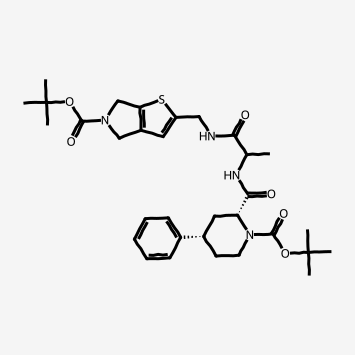 CC(NC(=O)[C@H]1C[C@@H](c2ccccc2)CCN1C(=O)OC(C)(C)C)C(=O)NCc1cc2c(s1)CN(C(=O)OC(C)(C)C)C2